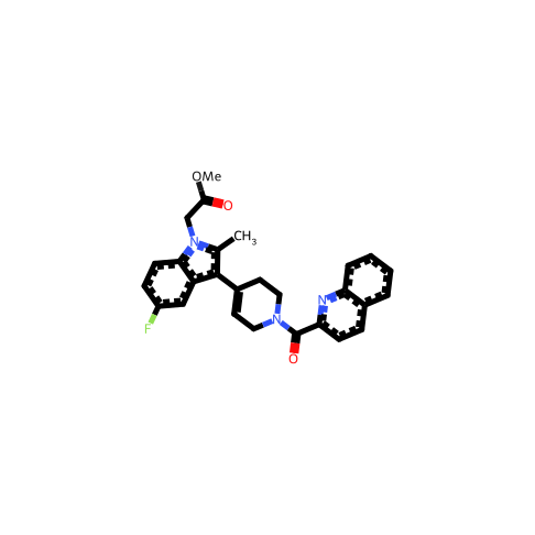 COC(=O)Cn1c(C)c(C2=CCN(C(=O)c3ccc4ccccc4n3)CC2)c2cc(F)ccc21